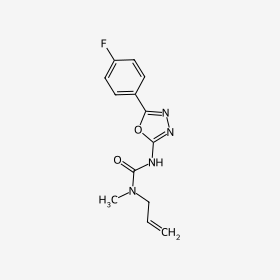 C=CCN(C)C(=O)Nc1nnc(-c2ccc(F)cc2)o1